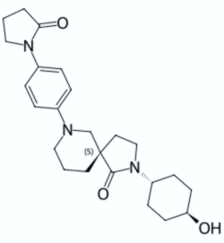 O=C1CCCN1c1ccc(N2CCC[C@]3(CCN([C@H]4CC[C@H](O)CC4)C3=O)C2)cc1